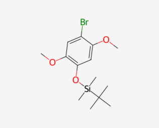 COc1cc(O[Si](C)(C)C(C)(C)C)c(OC)cc1Br